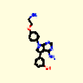 NCCOc1ccc(-n2cc(-c3cccc(O)c3)c3c(N)ncnc32)cc1